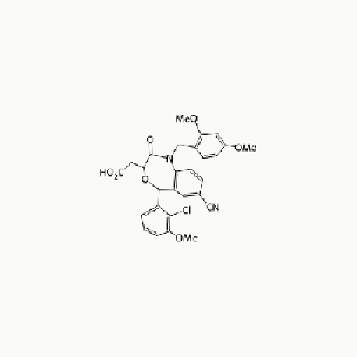 COc1ccc(CN2C(=O)C(CC(=O)O)OC(c3cccc(OC)c3Cl)c3cc(C#N)ccc32)c(OC)c1